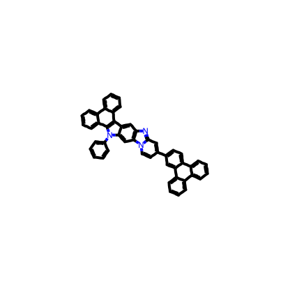 c1ccc(-n2c3cc4c(cc3c3c5ccccc5c5ccccc5c32)nc2cc(-c3ccc5c6ccccc6c6ccccc6c5c3)ccn24)cc1